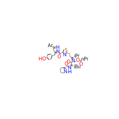 CCCC(=O)OCN(C(=O)[C@@H](NC(=O)[C@H]1CCCCN1C)C(C)CC)[C@H](CCc1nc(C(=O)N[C@@H](Cc2ccc(O)cc2)C[C@H](C)C(C)=O)cs1)C(C)C